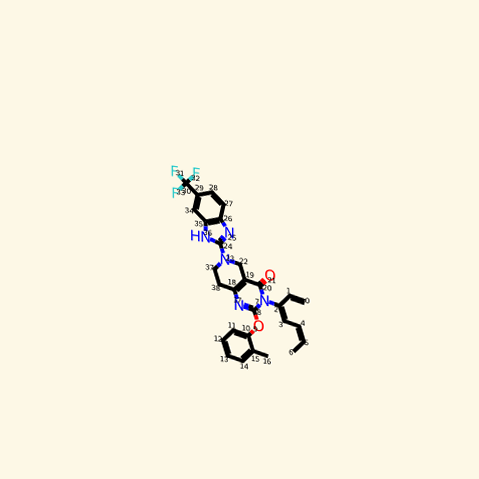 C=C/C(=C\C=C/C)n1c(Oc2ccccc2C)nc2c(c1=O)CN(c1nc3ccc(C(F)(F)F)cc3[nH]1)CC2